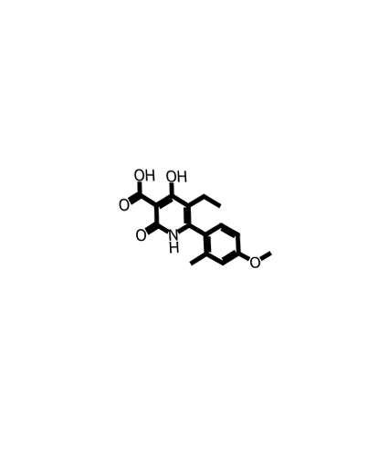 CCc1c(-c2ccc(OC)cc2C)[nH]c(=O)c(C(=O)O)c1O